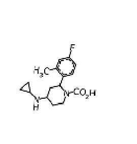 Cc1cc(F)ccc1C1CC(NC2CC2)CCN1C(=O)O